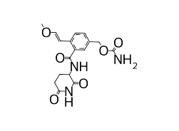 COC=Cc1ccc(COC(N)=O)cc1C(=O)NC1CCC(=O)NC1=O